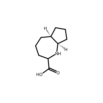 O=C(O)C1CCC[C@H]2CCC[C@H]2N1